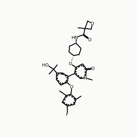 Cc1cc(F)cc(C)c1Oc1ccc(C(C)(C)O)cc1-c1cn(C)c(=O)cc1O[C@H]1CC[C@H](NC(=O)C2(C)COC2)CC1